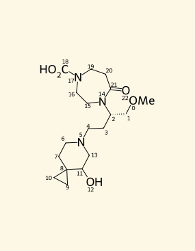 COC[C@H](CCN1CCC2(CC2)C(O)C1)N1CCN(C(=O)O)CCC1=O